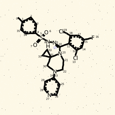 Cc1ccc(S(=O)(=O)N/N=C(/c2c(Cl)cc(F)cc2Cl)N2CCN(c3ccncc3)CC23CC3)cc1